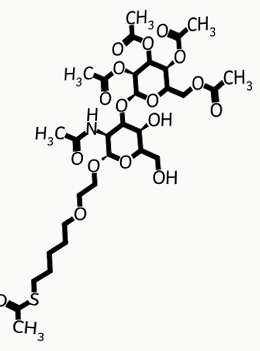 CC(=O)N[C@H]1C(O[C@@H]2OC(COC(C)=O)[C@H](OC(C)=O)C(OC(C)=O)[C@@H]2OC(C)=O)[C@@H](O)C(CO)O[C@@H]1OCCOCCCCCSC(C)=O